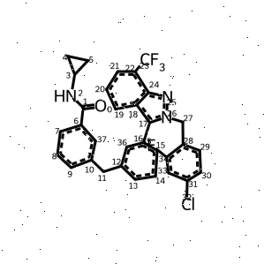 O=C(NC1CC1)c1cccc(Cc2cccc(-c3c4cccc(C(F)(F)F)c4nn3Cc3ccc(Cl)cc3F)c2)c1